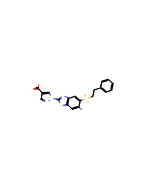 O=C(O)c1cnn(-c2nc3cc(S(=O)(=O)CCc4ccccc4)c(Cl)cc3[nH]2)c1